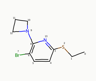 CCSc1ccc(Br)c(N2CCC2)n1